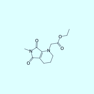 CCOC(=O)CN1CCCC2=C1C(=O)N(C)C2=O